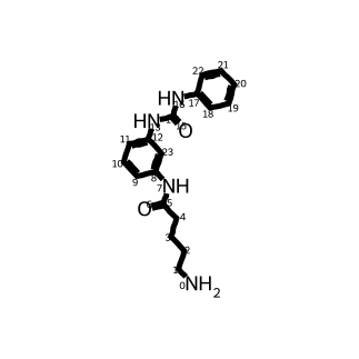 NCCCCC(=O)Nc1cccc(NC(=O)Nc2ccccc2)c1